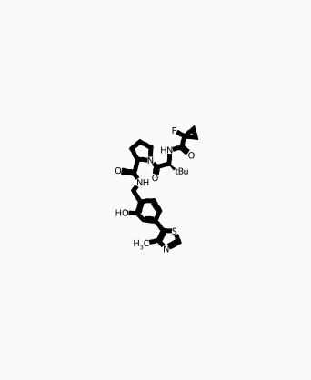 Cc1ncsc1-c1ccc(CNC(=O)C2CCCN2C(=O)[C@@H](NC(=O)C2(F)CC2)C(C)(C)C)c(O)c1